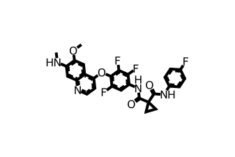 CNc1cc2nccc(Oc3c(F)cc(NC(=O)C4(C(=O)Nc5ccc(F)cc5)CC4)c(F)c3F)c2cc1OC